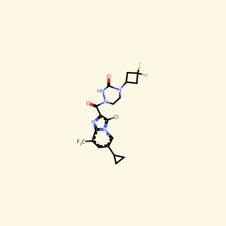 O=C(c1nc2c(C(F)(F)F)cc(C3CC3)cn2c1Cl)N1CCN(C2CC(F)(F)C2)C(=O)N1